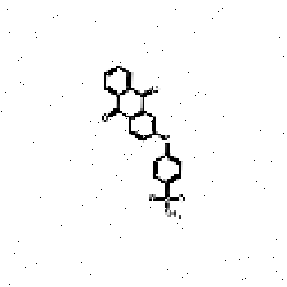 NS(=O)(=O)c1ccc(Sc2ccc3c(c2)C(=O)c2ccccc2C3=O)cc1